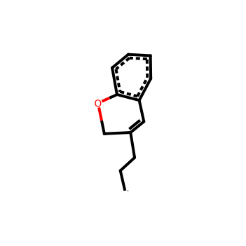 [CH2]CCC1=Cc2ccccc2OC1